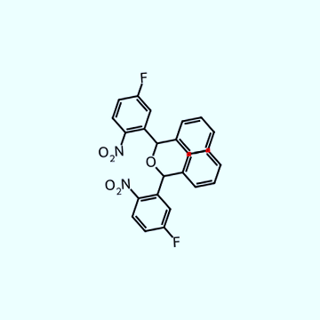 O=[N+]([O-])c1ccc(F)cc1C(OC(c1ccccc1)c1cc(F)ccc1[N+](=O)[O-])c1ccccc1